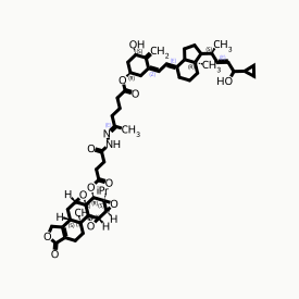 C=C1/C(=C\C=C2/CCC[C@@]3(C)C2CCC3[C@@H](C)/C=C/C(O)C2CC2)C[C@@H](OC(=O)CCC/C(C)=N/NC(=O)CCC(=O)O[C@@H]2[C@@]3(C(C)C)O[C@H]3[C@@H]3O[C@]34[C@]23O[C@H]3C[C@H]2C3=C(CC[C@@]24C)C(=O)OC3)C[C@@H]1O